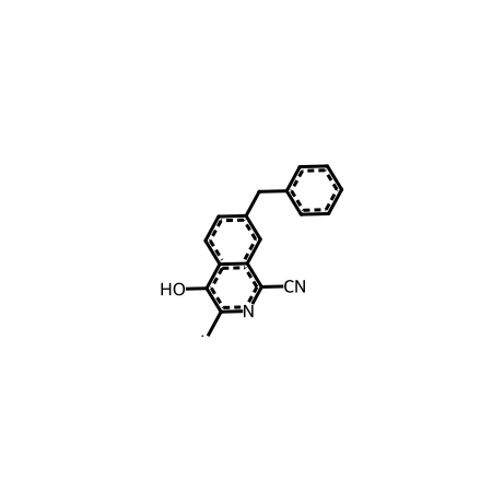 [CH2]c1nc(C#N)c2cc(Cc3ccccc3)ccc2c1O